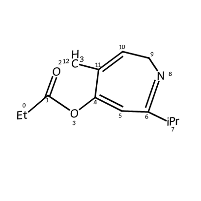 CCC(=O)OC1=CC(C(C)C)=NCC=C1C